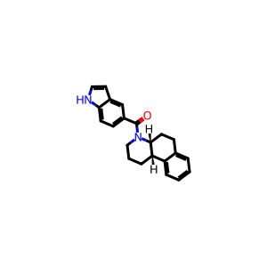 O=C(c1ccc2[nH]ccc2c1)N1CCC[C@H]2c3ccccc3CC[C@H]21